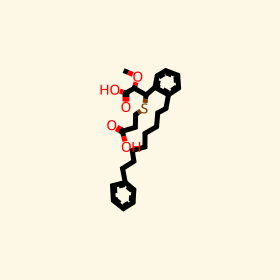 COC(C(=O)O)C(SCCC(=O)O)c1ccccc1CCCCCCCCc1ccccc1